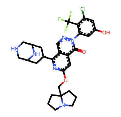 O=c1c2cc(OCC34CCCN3CCC4)nc(C3CC4CNCC(C3)N4)c2cnn1-c1cc(O)cc(Cl)c1C(F)(F)F